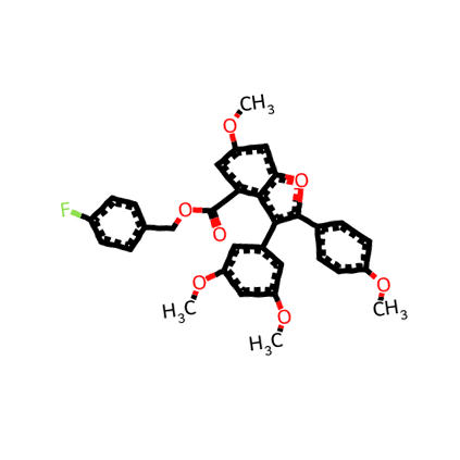 COc1ccc(-c2oc3cc(OC)cc(C(=O)OCc4ccc(F)cc4)c3c2-c2cc(OC)cc(OC)c2)cc1